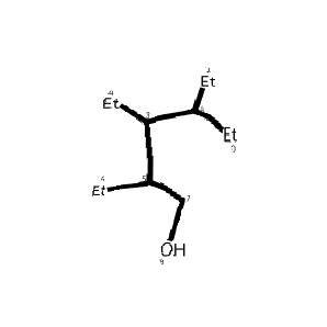 CCC(CC)C(CC)C(CC)CO